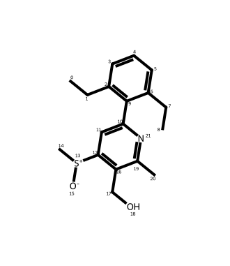 CCc1cccc(CC)c1-c1cc([S+](C)[O-])c(CO)c(C)n1